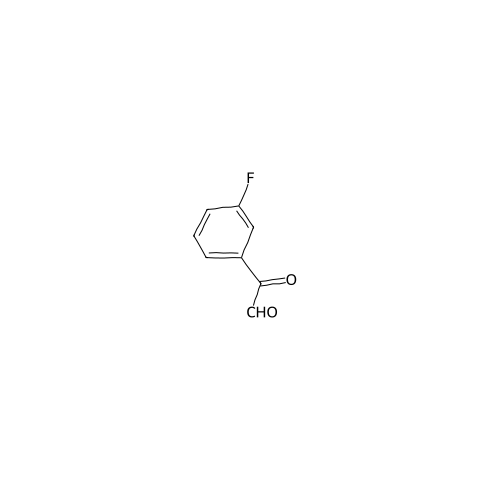 O=CC(=O)c1cccc(F)c1